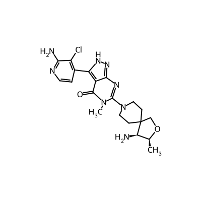 C[C@@H]1OCC2(CCN(c3nc4n[nH]c(-c5ccnc(N)c5Cl)c4c(=O)n3C)CC2)[C@@H]1N